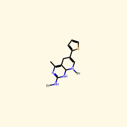 CCNC1=NC(C)=C2CC(c3cccs3)=CN(C(C)C)C2N1